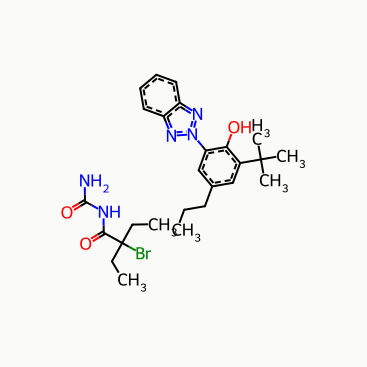 CCC(Br)(CC)C(=O)NC(N)=O.CCCc1cc(-n2nc3ccccc3n2)c(O)c(C(C)(C)C)c1